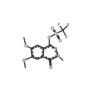 COc1cc2c(OS(=O)(=O)C(F)(F)F)nn(C)c(=O)c2cc1OC